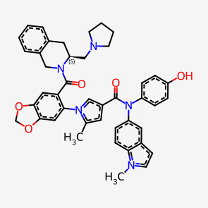 Cc1cc(C(=O)N(c2ccc(O)cc2)c2ccc3c(ccn3C)c2)cn1-c1cc2c(cc1C(=O)N1Cc3ccccc3C[C@H]1CN1CCCC1)OCO2